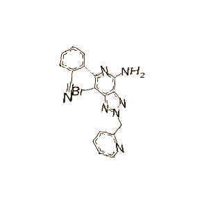 N#Cc1ccccc1-c1nc(N)c2nn(Cc3ccccn3)nc2c1Br